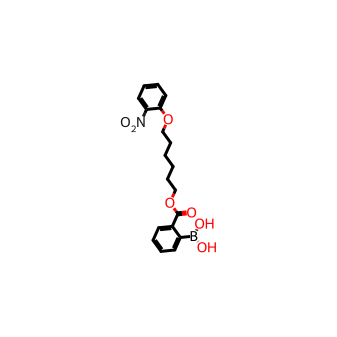 O=C(OCCCCCCOc1ccccc1[N+](=O)[O-])c1ccccc1B(O)O